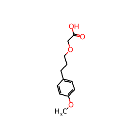 COc1ccc(CCCOCC(=O)O)cc1